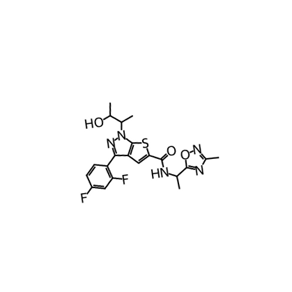 Cc1noc(C(C)NC(=O)c2cc3c(-c4ccc(F)cc4F)nn(C(C)C(C)O)c3s2)n1